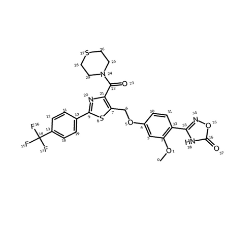 COc1cc(OCc2sc(-c3ccc(C(F)(F)F)cc3)nc2C(=O)N2CCSCC2)ccc1-c1noc(=O)[nH]1